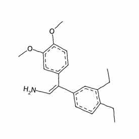 CCc1ccc(C(=CN)c2ccc(OC)c(OC)c2)cc1CC